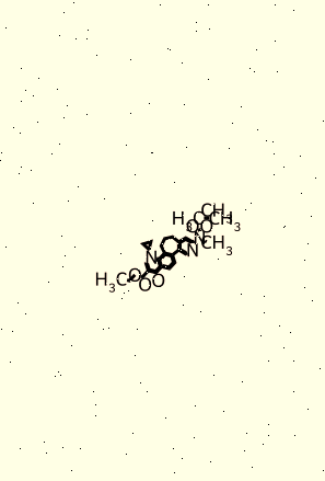 CCOC(=O)c1cn(C2CC2)c2c3c(ccc2c1=O)-c1cnc(N(C)C(=O)OC(C)(C)C)cc1CCC3